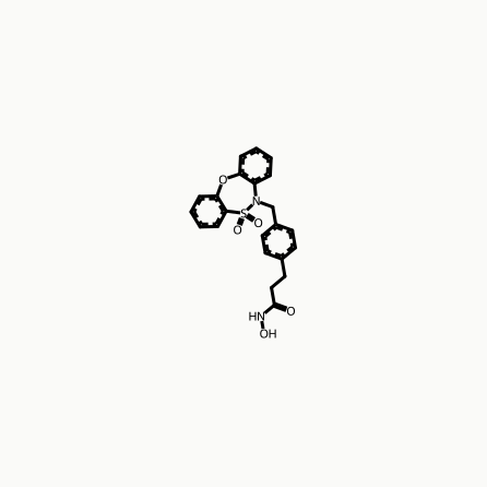 O=C(CCc1ccc(CN2c3ccccc3Oc3ccccc3S2(=O)=O)cc1)NO